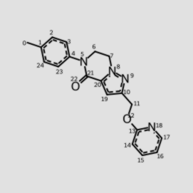 Cc1ccc(N2CCn3nc(COc4ccccn4)cc3C2=O)cc1